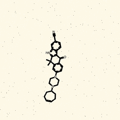 CC1(C)c2cc(N3CCN(C4CCC=CCC4)CC3)ccc2C(=O)c2c1[nH]c1cc(C#N)ccc21